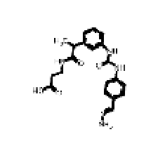 CC(C(=O)NCCC(=O)O)c1cccc(NC(=O)Nc2ccc(C=NN)cc2)c1